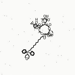 CC[C@H]1OC(=O)[C@H](C)C([C@H]2C[C@@](C)(OC)[C@@H](O)[C@H](C)O2)[C@H](C)[C@@H](O[C@@H]2O[C@H](C)C[C@H](N(C)C)[C@H]2O)[C@](C)(O)C[C@@H](C)CN(C(=O)CCCCCCCCCCC[PH](c2ccccc2)(c2ccccc2)C2CCOCC2)[C@H](C)[C@@H](O)[C@]1(C)O